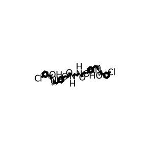 C[C@H](Cc1ccc(OCC(=O)NCCNC(=O)COc2ccc(C[C@@H](C)NC[C@H](O)c3cccc(Cl)c3)cc2)cc1)NC[C@H](O)c1cccc(Cl)c1